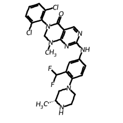 C[C@@H]1CN(c2ccc(Nc3ncc4c(n3)N(C)CN(c3c(Cl)cccc3Cl)C4=O)cc2C(F)F)CCN1